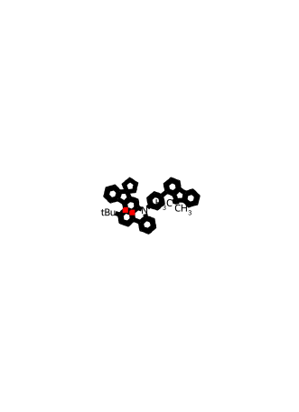 CC(C)(C)c1ccc(-c2ccccc2N(c2ccc(-c3cccc4c3C(C)(C)c3ccccc3-4)cc2)c2ccc3c(c2)C2(CCCC2)c2ccccc2-3)cc1